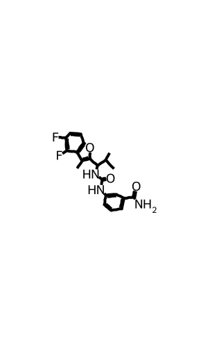 Cc1c(C(NC(=O)Nc2cccc(C(N)=O)c2)C(C)C)oc2ccc(F)c(F)c12